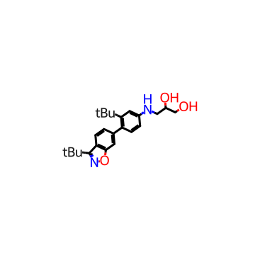 CC(C)(C)c1cc(NCC(O)CO)ccc1-c1ccc2c(C(C)(C)C)noc2c1